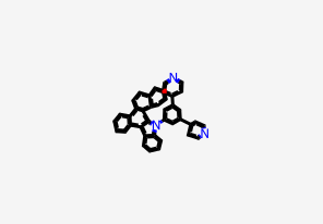 c1ccc2c(c1)ccc1c3ccccc3c3c4ccccc4n(-c4cc(-c5ccncc5)cc(-c5ccncc5)c4)c3c21